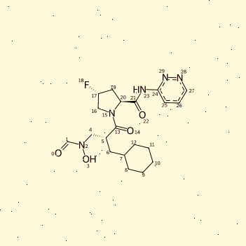 O=CN(O)C[C@@H](CC1CCCCC1)C(=O)N1C[C@H](F)C[C@H]1C(=O)Nc1cccnn1